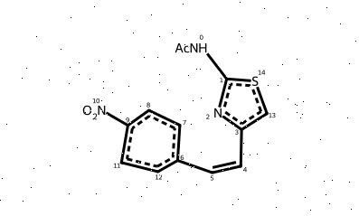 CC(=O)Nc1nc(/C=C\c2ccc([N+](=O)[O-])cc2)cs1